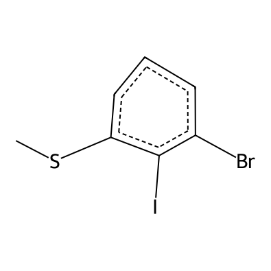 CSc1cccc(Br)c1I